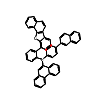 c1ccc(N(c2ccc(-c3ccc4ccccc4c3)cc2)c2cc3ccccc3c3ccccc23)c(-c2cccc3c2oc2c4ccccc4ccc32)c1